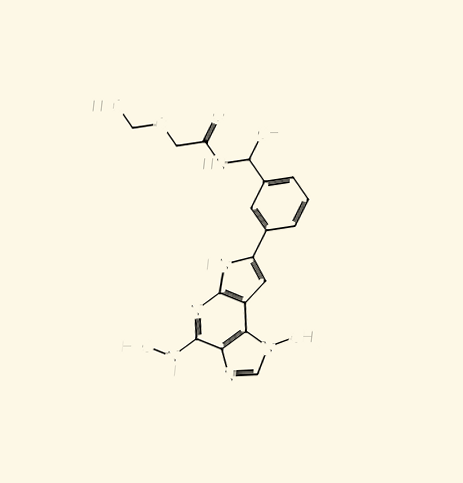 CCOCC(=O)NC(C)c1cccc(-c2cc3c(nc(NC)c4ncn(C)c43)[nH]2)c1